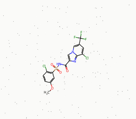 COc1ccc(Cl)c(S(=O)(=O)NC(=O)c2cn3cc(C(F)(F)F)cc(Cl)c3n2)c1